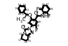 C[C@H](Oc1cc(-n2nc3n(c2=O)CCCC3)c(F)cc1C(=O)Nc1c(F)cccc1F)c1ccccc1